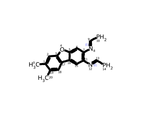 Cc1cc2oc3cc(/N=C/P)c(/N=C/P)cc3c2cc1C